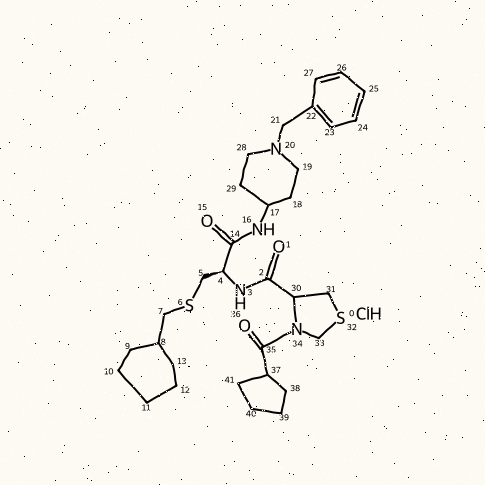 Cl.O=C(N[C@@H](CSCC1CCCCC1)C(=O)NC1CCN(Cc2ccccc2)CC1)C1CSCN1C(=O)C1CCCC1